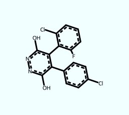 Oc1nnc(O)c(-c2c(F)cccc2Cl)c1-c1ccc(Cl)cc1